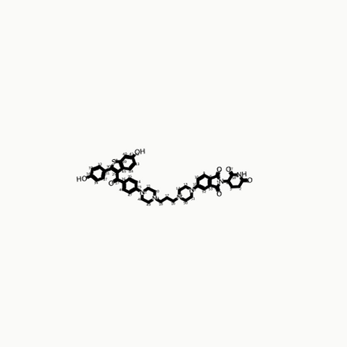 O=C1CCC(N2C(=O)c3ccc(N4CCN(CCCN5CCN(c6ccc(C(=O)c7c(-c8ccc(O)cc8)sc8cc(O)ccc78)cc6)CC5)CC4)cc3C2=O)C(=O)N1